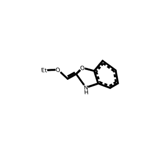 CCOC=C1Nc2ccccc2O1